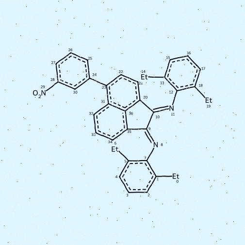 CCc1cccc(CC)c1N=C1C(=Nc2c(CC)cccc2CC)c2ccc(-c3cccc([N+](=O)[O-])c3)c3cccc1c23